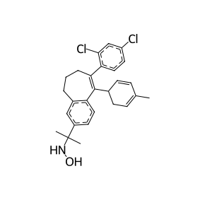 CC1=CCC(C2=C(c3ccc(Cl)cc3Cl)CCCc3cc(C(C)(C)NO)ccc32)C=C1